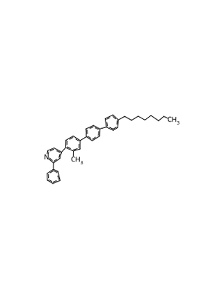 CCCCCCCCc1ccc(-c2ccc(-c3ccc(-c4ccnc(-c5ccccc5)c4)c(C)c3)cc2)cc1